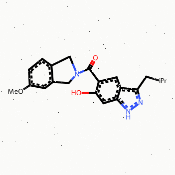 COc1ccc2c(c1)CN(C(=O)c1cc3c(CC(C)C)n[nH]c3cc1O)C2